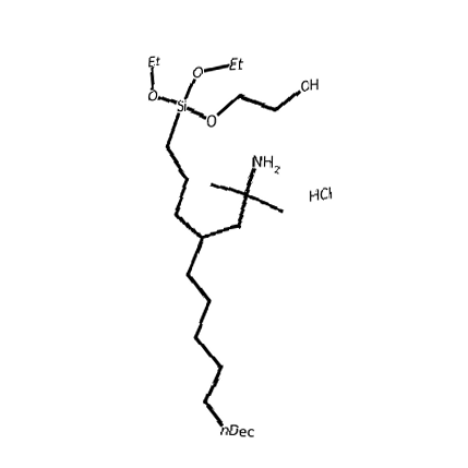 CCCCCCCCCCCCCCCC(CCC[Si](OCC)(OCC)OCCO)CC(C)(C)N.Cl